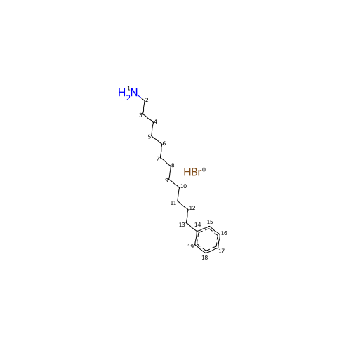 Br.NCCCCCCCCCCCCc1ccccc1